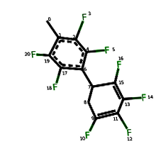 Cc1c(F)c(F)c(C2CC(F)=C(F)C(F)=C2F)c(F)c1F